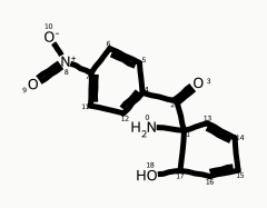 NC1(C(=O)c2ccc([N+](=O)[O-])cc2)C=CC=CC1O